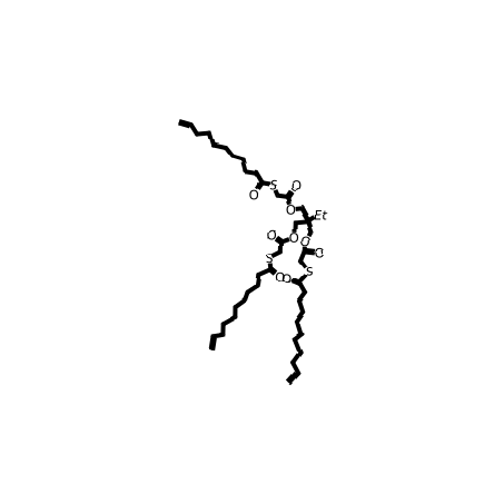 C=CCCCCCCCCC(=O)SCC(=O)OCC(CC)(COC(=O)CSC(=O)CCCCCCCCC=C)COC(=O)CSC(=O)CCCCCCCCC=C